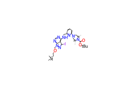 C[C@@H]1CN(c2cccc(CNc3ncnc4c3c(I)nn4COCC[Si](C)(C)C)n2)C[C@H](C)N1C(=O)OC(C)(C)C